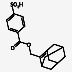 O=C(OCC1=C2CC3CC(C2)CC1C3)c1ccc(S(=O)(=O)O)cc1